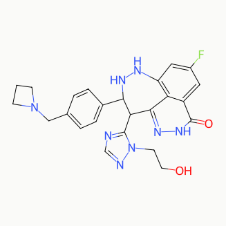 O=c1[nH]nc2c3c(cc(F)cc13)NNC(c1ccc(CN3CCC3)cc1)C2c1ncnn1CCO